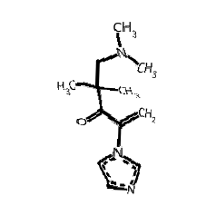 C=C(C(=O)C(C)(C)CN(C)C)n1ccnc1